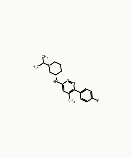 Cc1cc(N[C@@H]2CCCN(C(C)C)C2)nnc1-c1ccc(F)cc1